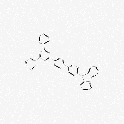 c1ccc(-c2cc(-c3ccc(-c4ccc(-n5c6ccccc6c6ccccc65)cc4)cc3)cc(-c3ccccc3)n2)cc1